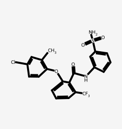 Cc1cc(Cl)ccc1Oc1cccc(C(F)(F)F)c1C(=O)Nc1cccc(S(N)(=O)=O)c1